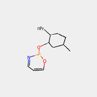 CCCC1CCC(C)CC1OP1N=CC=CO1